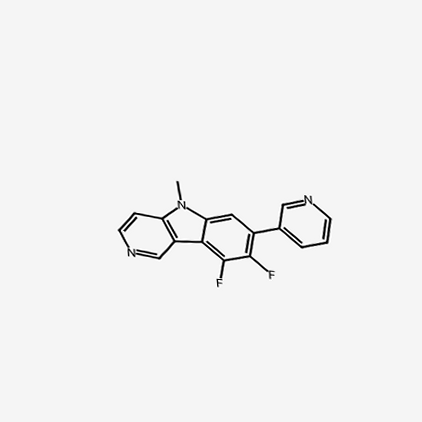 Cn1c2ccncc2c2c(F)c(F)c(-c3cccnc3)cc21